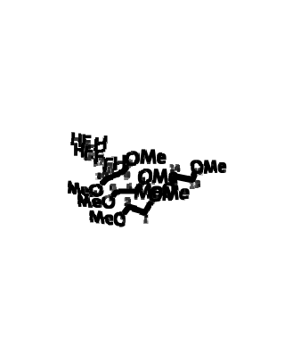 COCCOC.COCCOC.COCCOC.COCCOC.F.F.F.F